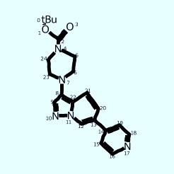 CC(C)(C)OC(=O)N1CCN(c2cnn3cc(-c4ccncc4)ccc23)CC1